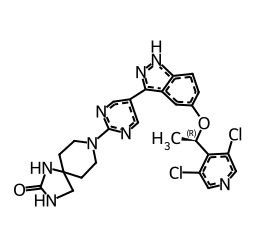 C[C@@H](Oc1ccc2[nH]nc(-c3cnc(N4CCC5(CC4)CNC(=O)N5)nc3)c2c1)c1c(Cl)cncc1Cl